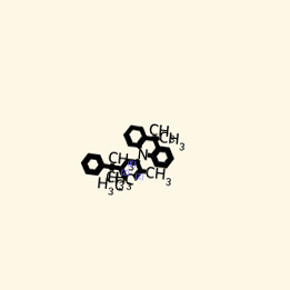 C\C=C(C)/C(=C\C(=C\C)C(C)(C)c1ccccc1)N1C2=C(CCC=C2)C(C)(C)c2ccccc21